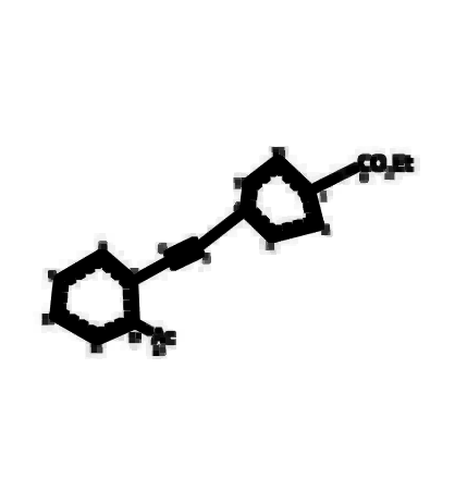 CCOC(=O)c1ccc(C#Cc2ccccc2C(C)=O)cc1